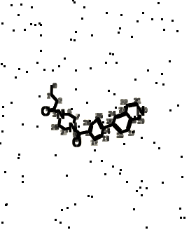 CCCC(=O)N1CCN(C(=O)c2ccc(-c3ccc4cnccc4c3)cc2)CC1